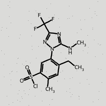 CCc1cc(C)c(S(=O)(=O)Cl)cc1-n1nc(C(F)(F)F)nc1NC